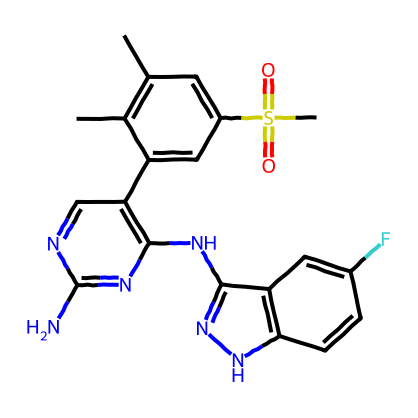 Cc1cc(S(C)(=O)=O)cc(-c2cnc(N)nc2Nc2n[nH]c3ccc(F)cc23)c1C